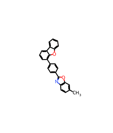 Cc1ccc2nc(-c3ccc(-c4cccc5c4oc4ccccc45)cc3)oc2c1